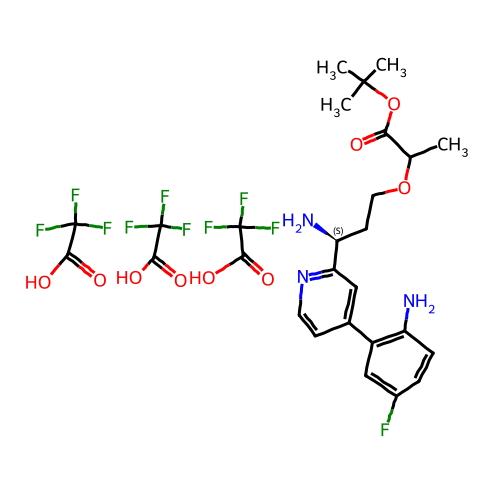 CC(OCC[C@H](N)c1cc(-c2cc(F)ccc2N)ccn1)C(=O)OC(C)(C)C.O=C(O)C(F)(F)F.O=C(O)C(F)(F)F.O=C(O)C(F)(F)F